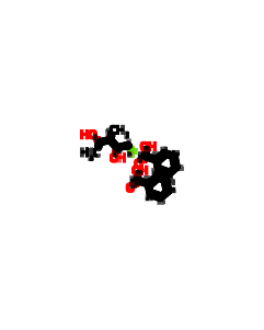 CC(O)C(C)C(O)CF.O=C(O)c1ccccc1.O=C(O)c1ccccc1